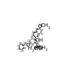 COc1ccc2cc(C3(O)CCC(OCc4ccccc4)CC3CN(C)C)ccc2c1.Cl